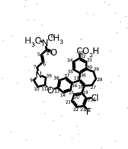 CN(C)C(=O)C=CCN1CC[C@H](Oc2ccc(C3=C(c4cccc(F)c4Cl)CCCc4cc(C(=O)O)ccc43)cc2)C1